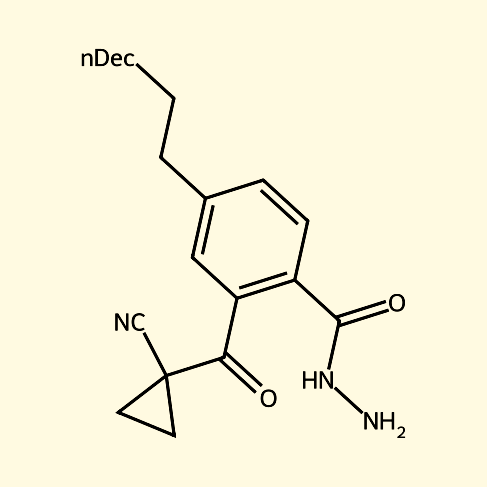 CCCCCCCCCCCCc1ccc(C(=O)NN)c(C(=O)C2(C#N)CC2)c1